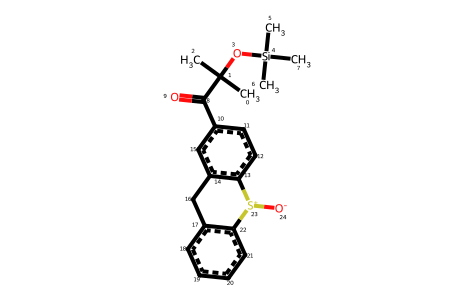 CC(C)(O[Si](C)(C)C)C(=O)c1ccc2c(c1)Cc1ccccc1[S+]2[O-]